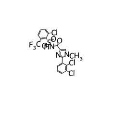 Cn1cc(C(=O)NS(=O)(=O)c2c(Cl)cccc2C(F)(F)F)nc1-c1cccc(Cl)c1Cl